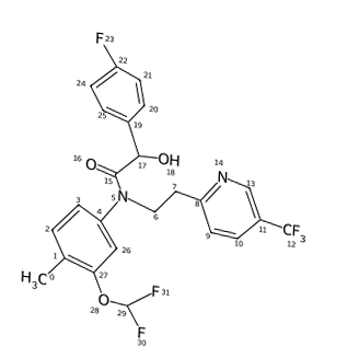 Cc1ccc(N(CCc2ccc(C(F)(F)F)cn2)C(=O)C(O)c2ccc(F)cc2)cc1OC(F)F